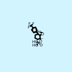 CN[C@@]1(c2ccc(C(F)(F)F)cc2)CCC[C@](C)(OP(=O)(O)O)C1=O